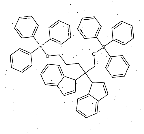 C1=CC(C(CCCO[Si](c2ccccc2)(c2ccccc2)c2ccccc2)(CO[Si](c2ccccc2)(c2ccccc2)c2ccccc2)C2C=Cc3ccccc32)c2ccccc21